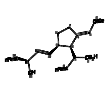 CCCCCC(C(=O)O)[C@@H]1C(=COC)CC[C@@H]1C=C[C@@H](O)CCCCC